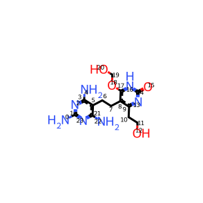 Nc1nc(N)c(CCc2c(CCO)nc(=O)[nH]c2OCO)c(N)n1